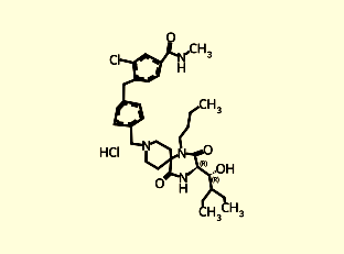 CCCCN1C(=O)[C@@H]([C@H](O)C(CC)CC)NC(=O)C12CCN(Cc1ccc(Cc3ccc(C(=O)NC)cc3Cl)cc1)CC2.Cl